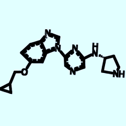 c1cc2ncn(-c3cncc(N[C@@H]4CCNC4)n3)c2cc1OCC1CC1